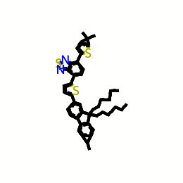 CCCCCCC1(CCCCCC)c2cc(-c3ccc(-c4ccc(-c5cc6c(s5)C6(C)C)c5nsnc45)s3)ccc2-c2cc3c(cc21)C3C